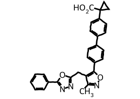 Cc1noc(-c2ccc(-c3ccc(C4(C(=O)O)CC4)cc3)cc2)c1Cc1nnc(-c2ccccc2)o1